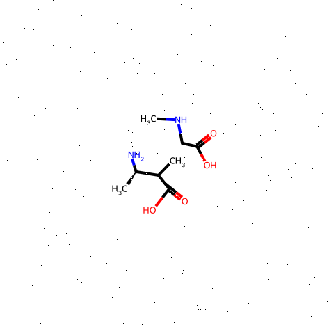 CC(C(=O)O)[C@@H](C)N.CNCC(=O)O